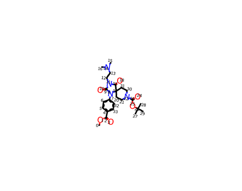 COC(=O)c1ccc(N2C(=O)N(CCN(C)C)C(=O)C23CCN(C(=O)OC(C)(C)C)CC3)cc1